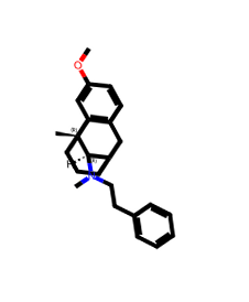 COc1ccc2c(c1)[C@@]1(C)CCCC(C2)[C@H]1N(C)CCc1ccccc1